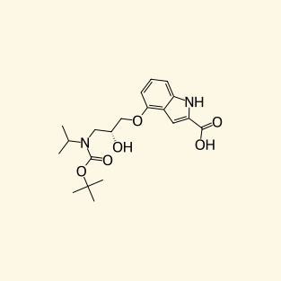 CC(C)N(C[C@@H](O)COc1cccc2[nH]c(C(=O)O)cc12)C(=O)OC(C)(C)C